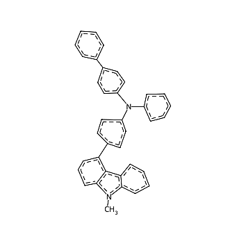 Cn1c2ccccc2c2c(-c3ccc(N(c4ccccc4)c4ccc(-c5ccccc5)cc4)cc3)cccc21